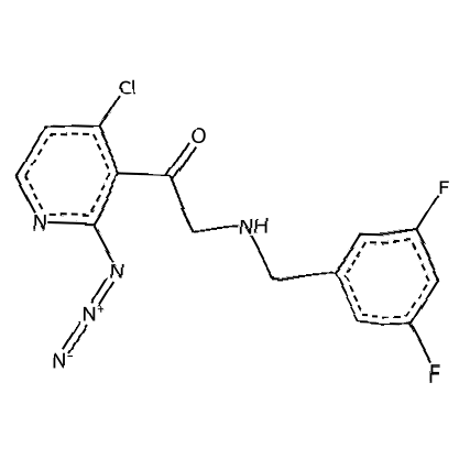 [N-]=[N+]=Nc1nccc(Cl)c1C(=O)CNCc1cc(F)cc(F)c1